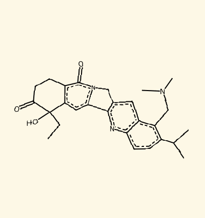 CCC1(O)C(=O)CCc2c1cc1n(c2=O)Cc2cc3c(CN(C)C)c(C(C)C)ccc3nc2-1